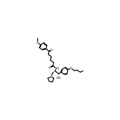 CCCCOc1ccc([C@H](O)[C@@H](CN2CCCC2)NC(=O)CCCCC(=O)c2ccc(OC)cc2)cc1